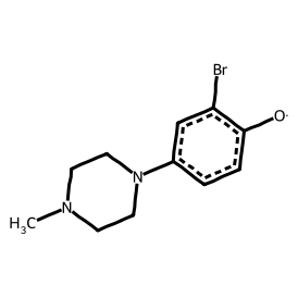 CN1CCN(c2ccc([O])c(Br)c2)CC1